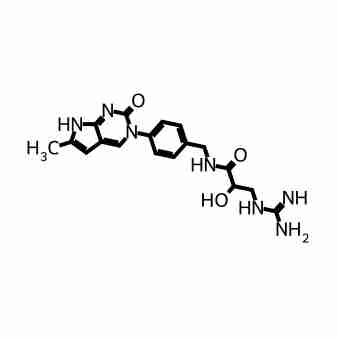 Cc1cc2cn(-c3ccc(CNC(=O)C(O)CNC(=N)N)cc3)c(=O)nc2[nH]1